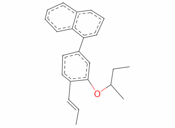 C/C=C/c1ccc(-c2cccc3ccccc23)cc1OC(C)CC